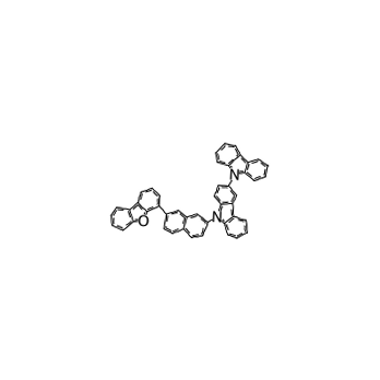 c1ccc2c(c1)oc1c(-c3ccc4ccc(-n5c6ccccc6c6cc(-n7c8ccccc8c8ccccc87)ccc65)cc4c3)cccc12